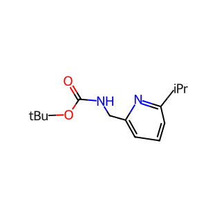 CC(C)c1cccc(CNC(=O)OC(C)(C)C)n1